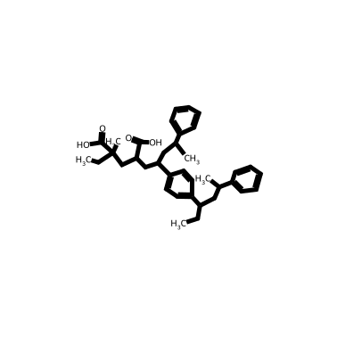 CCC(CC(C)c1ccccc1)c1ccc(C(CC(CC(C)(CC)C(=O)O)C(=O)O)CC(C)c2ccccc2)cc1